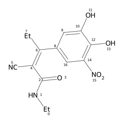 CCNC(=O)C(C#N)=C(CC)c1cc(O)c(O)c([N+](=O)[O-])c1